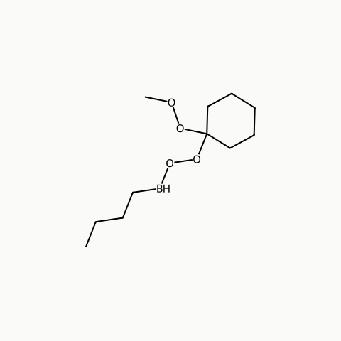 CCCCBOOC1(OOC)CCCCC1